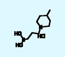 CC1CCN(CCCB(O)O)CC1.Cl